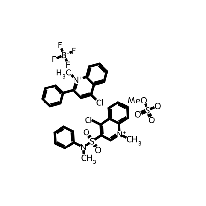 CN(c1ccccc1)S(=O)(=O)c1c[n+](C)c2ccccc2c1Cl.COS(=O)(=O)[O-].C[n+]1c(-c2ccccc2)cc(Cl)c2ccccc21.F[B-](F)(F)F